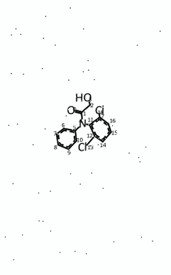 O=C(CO)N(c1ccccc1)c1c(Cl)cccc1Cl